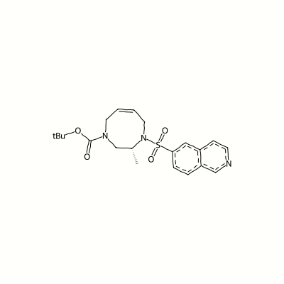 C[C@@H]1CN(C(=O)OC(C)(C)C)C/C=C\CN1S(=O)(=O)c1ccc2cnccc2c1